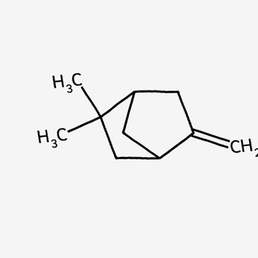 C=C1CC2CC1CC2(C)C